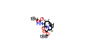 CC(C)(C)OC(=O)N[C@H]1CCC[C@@H]2CC[C@@H](C(=O)OC(C)(C)C)N2C1=O